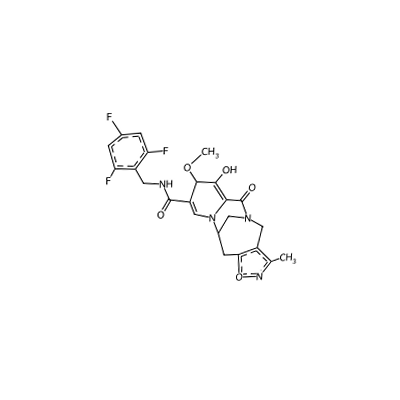 COC1C(C(=O)NCc2c(F)cc(F)cc2F)=CN2C(=C1O)C(=O)N1Cc3c(C)noc3CC2C1